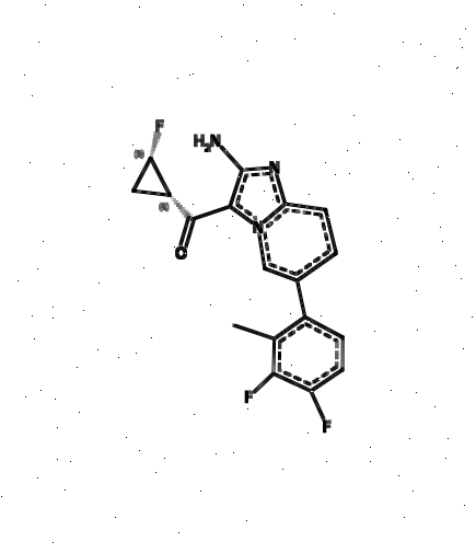 Cc1c(-c2ccc3nc(N)c(C(=O)[C@@H]4C[C@@H]4F)n3c2)ccc(F)c1F